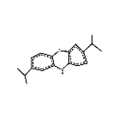 CC(C)c1ccc2c(c1)Nc1ccc(C(C)C)cc1S2